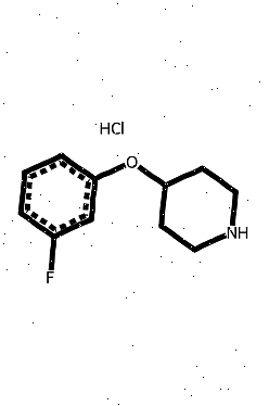 Cl.Fc1cccc(OC2CCNCC2)c1